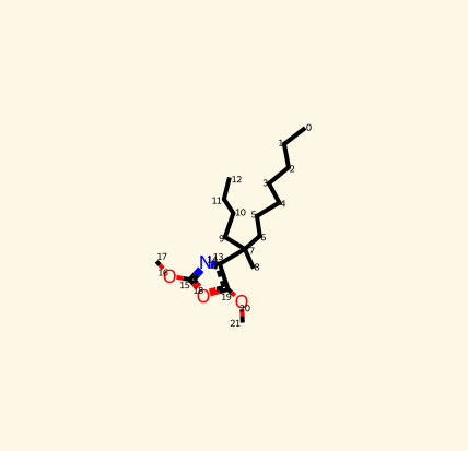 CCCCCCCC(C)(CCCC)c1nc(OC)oc1OC